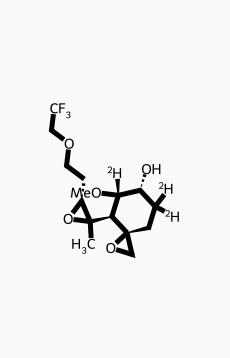 [2H]C1([2H])C[C@]2(CO2)[C@@H](C2(C)O[C@@H]2CCOCC(F)(F)F)[C@]([2H])(OC)[C@@H]1O